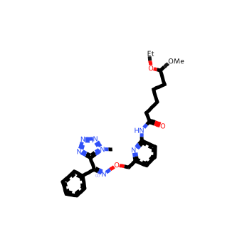 CCOC(CCCCC(=O)Nc1cccc(CO/N=C(/c2ccccc2)c2nnnn2C)n1)OC